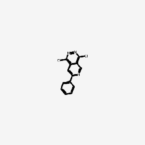 Clc1nnc(Cl)c2cc(-c3ccccc3)ncc12